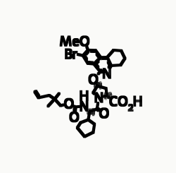 C=CCC(C)(C)COC(=O)N[C@H](C(=O)N1C[C@H](Oc2nc3c(c4cc(OC)c(Br)cc24)CCCC3)C[C@H]1C(=O)O)C1CCCCC1